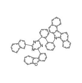 c1ccc(-c2ccccc2-n2c3ccc4ccccc4c3c3ccc4ccccc4c32)c(-c2nc(-c3ccc4ccccc4c3)nc(-c3cccc4oc5ccccc5c34)n2)c1